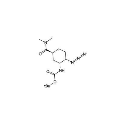 CN(C)C(=O)[C@H]1CCC(N=[N+]=[N-])[C@H](NC(=O)OC(C)(C)C)C1